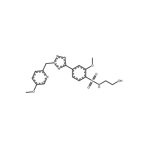 COc1ccc(Cn2nnc(-c3ccc(S(=O)(=O)NCCO)c(OC)c3)n2)nc1